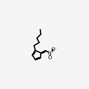 CCCCCC1=CC=CC1=C[N+](=O)[O-]